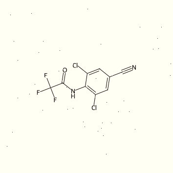 N#Cc1cc(Cl)c(NC(=O)C(F)(F)F)c(Cl)c1